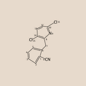 N#Cc1ccccc1Cc1nc(Cl)ccc1Cl